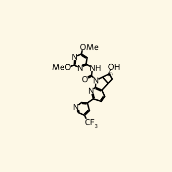 COc1cc(NC(=O)N2c3nc(-c4cncc(C(F)(F)F)c4)ccc3C3C[C@@H](O)C32)nc(OC)n1